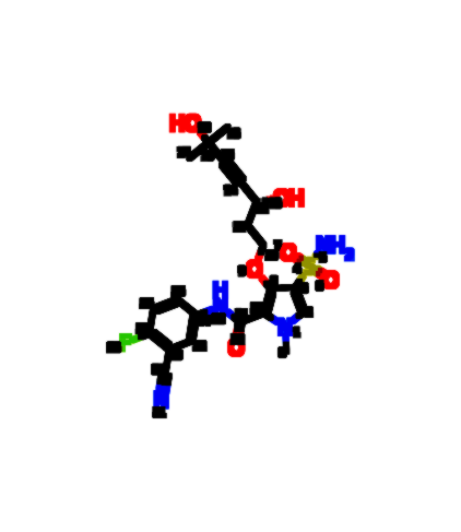 Cn1cc(S(N)(=O)=O)c(OCC[C@@H](O)C#CC(C)(C)O)c1C(=O)Nc1ccc(F)c(C#N)c1